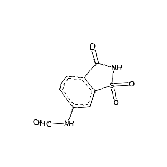 O=CNc1ccc2c(c1)S(=O)(=O)NC2=O